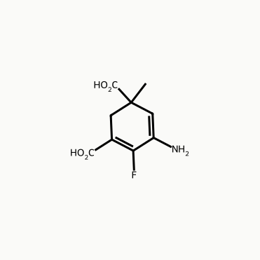 CC1(C(=O)O)C=C(N)C(F)=C(C(=O)O)C1